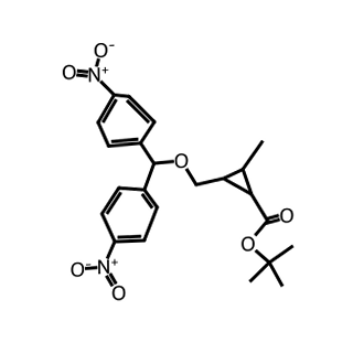 CC1C(COC(c2ccc([N+](=O)[O-])cc2)c2ccc([N+](=O)[O-])cc2)C1C(=O)OC(C)(C)C